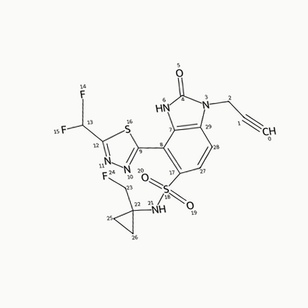 C#CCn1c(=O)[nH]c2c(-c3nnc(C(F)F)s3)c(S(=O)(=O)NC3(CF)CC3)ccc21